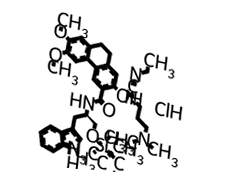 CCN=C=NCCCN(C)C.COc1cc2c(cc1OC)-c1cc(C(=O)N[C@@H](CO[Si](C)(C)C(C)(C)C)Cc3c[nH]c4ccccc34)c(O)cc1CC2.Cl